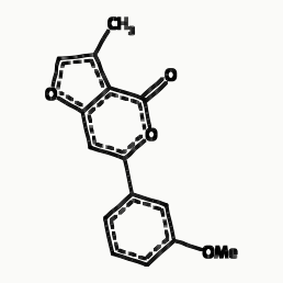 COc1cccc(-c2cc3occ(C)c3c(=O)o2)c1